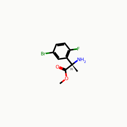 COC(=O)[C@@](C)(N)c1cc(Br)ccc1F